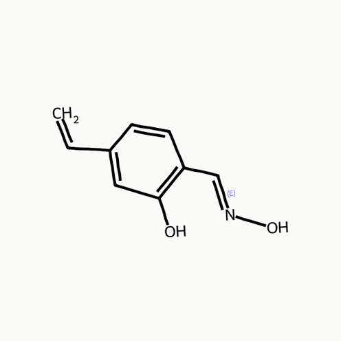 C=Cc1ccc(/C=N/O)c(O)c1